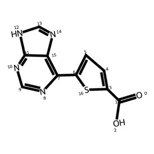 O=C(O)c1ccc(-c2ncnc3[nH]cnc23)s1